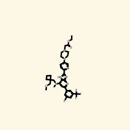 CCOC(=O)CN1CCN(c2ccc(-c3nc4nc(-c5cc(F)cc(C(F)(F)F)c5)cc(N(C)CC5(COC)CCC5)c4[nH]3)nc2)CC1